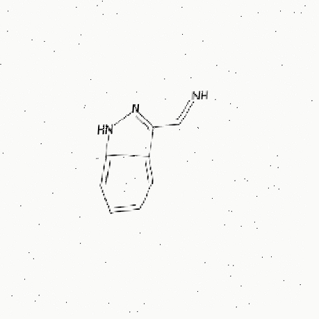 N=Cc1n[nH]c2ccccc12